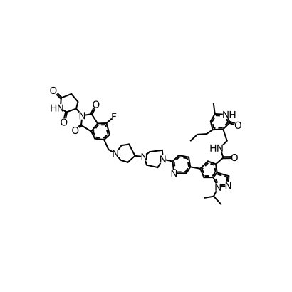 CCCc1cc(C)[nH]c(=O)c1CNC(=O)c1cc(-c2ccc(N3CCN(C4CCN(Cc5cc(F)c6c(c5)C(=O)N(C5CCC(=O)NC5=O)C6=O)CC4)CC3)nc2)cc2c1cnn2C(C)C